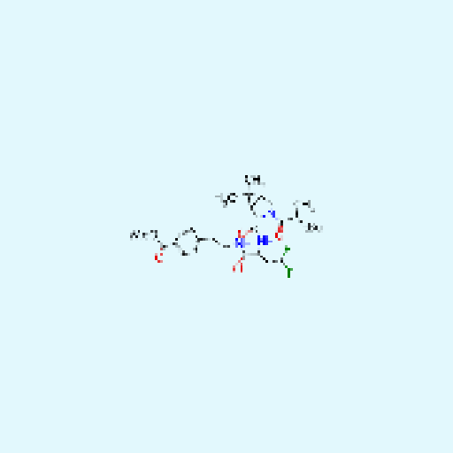 COC(=O)c1ccc(CCNC(=O)[C@H](CC(F)F)NC(=O)[C@@H]2C3C(CN2C(=O)[C@@H](C)C(C)(C)C)C3(C)C)cc1